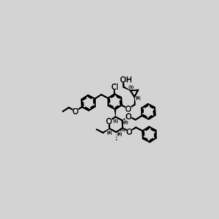 CCOc1ccc(Cc2cc([C@@H]3O[C@H](CC)[C@@H](C)[C@H](OCc4ccccc4)[C@H]3OCc3ccccc3)c(OC[C@@H]3C[C@@H]3CO)cc2Cl)cc1